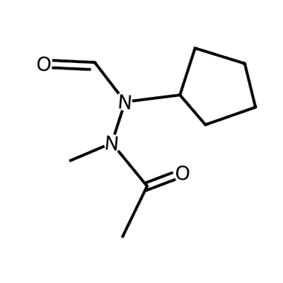 CC(=O)N(C)N(C=O)C1CCCC1